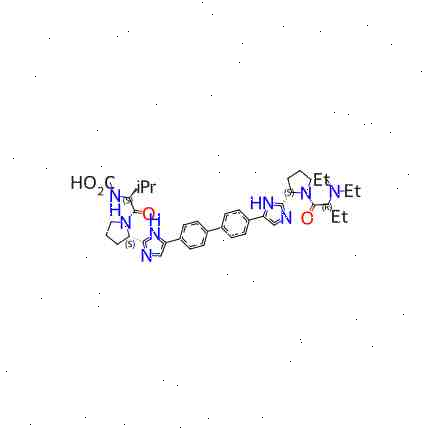 CC[C@H](C(=O)N1CCC[C@H]1c1ncc(-c2ccc(-c3ccc(-c4cnc([C@@H]5CCCN5C(=O)[C@@H](NC(=O)O)C(C)C)[nH]4)cc3)cc2)[nH]1)N(CC)CC